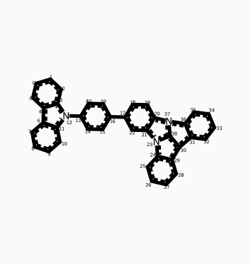 c1ccc2c(c1)c1ccccc1n2-c1ccc(-c2ccc3c(c2)n2c4ccccc4c4c5ccccc5n3c42)cc1